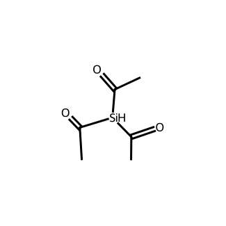 CC(=O)[SiH](C(C)=O)C(C)=O